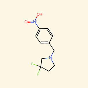 O=[N+](O)c1ccc(CN2CCC(F)(F)C2)cc1